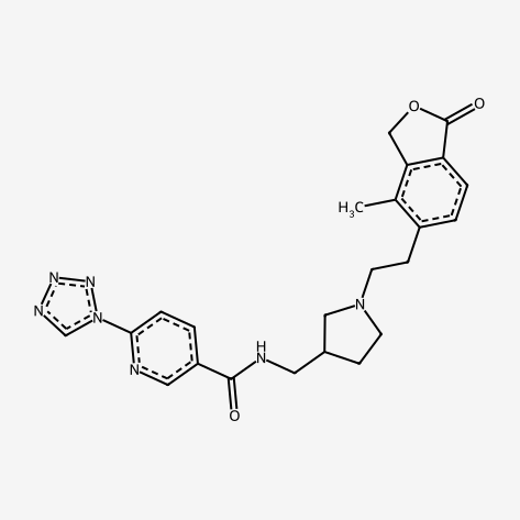 Cc1c(CCN2CCC(CNC(=O)c3ccc(-n4cnnn4)nc3)C2)ccc2c1COC2=O